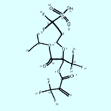 C=C(C(=O)OC(OCCC(F)(F)S(=O)(=O)O)(C(=O)OC(C)C)C(F)(F)F)C(F)(F)F